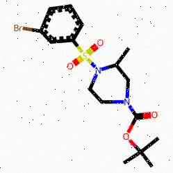 CC1CN(C(=O)OC(C)(C)C)CCN1S(=O)(=O)c1cccc(Br)c1